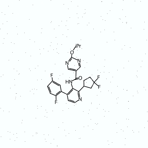 CC(C)Oc1ncc(C(=O)Nc2c(-c3cc(F)ccc3F)ccnc2C2CCC(F)(F)C2)cn1